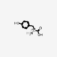 N[14C@@H](Cc1ccc(O)cc1)C(=O)O